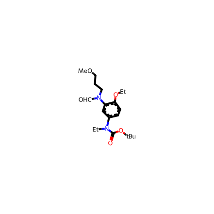 CCOc1ccc(N(CC)C(=O)OC(C)(C)C)cc1N(C=O)CCCOC